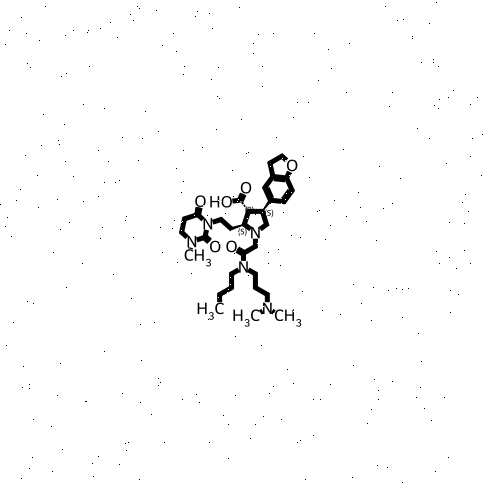 CCCCN(CCCN(C)C)C(=O)CN1C[C@H](c2ccc3c(c2)CCO3)[C@@H](C(=O)O)[C@@H]1CCN1C(=O)CCN(C)C1=O